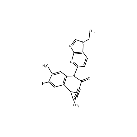 CC#CC(=O)N(c1ccc2c(ncn2CC)n1)c1cc(C)c(I)cc1C1CC1